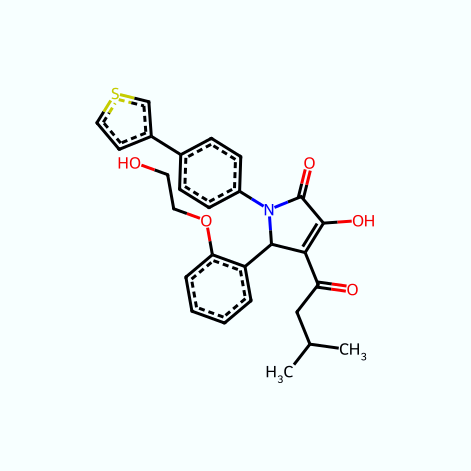 CC(C)CC(=O)C1=C(O)C(=O)N(c2ccc(-c3ccsc3)cc2)C1c1ccccc1OCCO